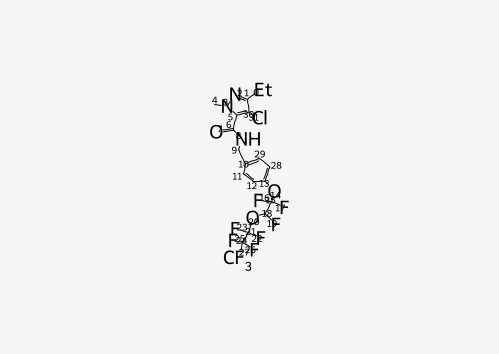 CCc1nn(C)c(C(=O)NCc2ccc(OC(F)(F)C(F)OC(F)(F)C(F)(F)C(F)(F)F)cc2)c1Cl